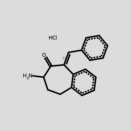 Cl.NC1CCc2ccccc2/C(=C\c2ccccc2)C1=O